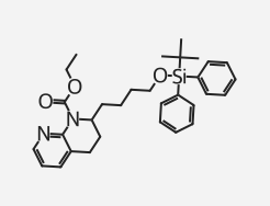 CCOC(=O)N1c2ncccc2CCC1CCCCO[Si](c1ccccc1)(c1ccccc1)C(C)(C)C